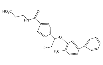 CC(C)CC(Oc1cc(-c2ccccc2)ccc1C(F)(F)F)c1ccc(C(=O)NCCC(=O)O)cc1